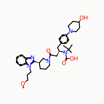 COCCCn1c([C@@H]2CCCN(C(=O)C[C@@H](Cc3ccc(N4CCC(O)CC4)cc3)N(C(=O)O)C(C)(C)C)C2)nc2ccccc21